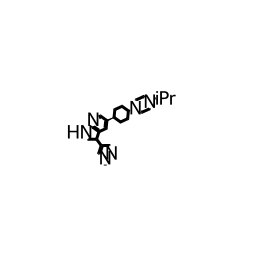 CC(C)N1CCN([C@H]2CC[C@H](c3cnc4c(c3)C(c3cnn(C)c3)CN4)CC2)CC1